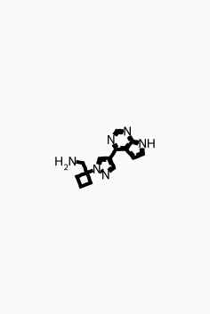 NCC1(n2cc(-c3ncnc4[nH]ccc34)cn2)CCC1